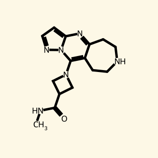 CNC(=O)C1CN(c2c3c(nc4ccnn24)CCNCC3)C1